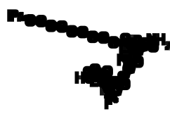 CC[C@@]1(O)C(=O)OCc2c1cc1n(c2=O)Cc2c-1nc1cc(F)c(C)c3c1c2[C@@H](NC(=O)OCc1ccc(NC(=O)[C@H](CCCNC(N)=O)NC(=O)[C@@H](NC(=O)CCOCCOCCOCCOCCOCCOCCOCCOCCOCCC(C)C)C(C)C)cc1)CC3